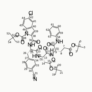 CC(C)(C)OC(=O)CC[C@H](NC(=O)[C@H](CC(=O)OC(C)(C)C)NC(=O)[C@H](Cc1ccc(C#N)cc1)NC(=O)c1cc2cc(Cl)ccc2n1C(=O)OC(C)(C)C)C(=O)Nc1ccccc1